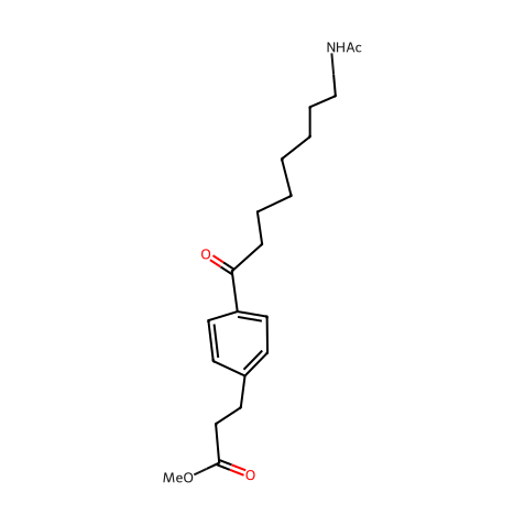 COC(=O)CCc1ccc(C(=O)CCCCCCCNC(C)=O)cc1